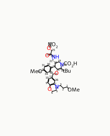 COCCCN1CCOc2ccc(CO[C@H]3C(C(C)(C)C)N(C(=O)O)C[C@@H](CNC(=O)CO[N+](=O)[O-])[C@@H]3c3ccc(OC)cc3)cc21